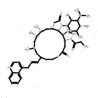 CCC(=O)O[C@@H]1CC(=O)OCCC(/C=C/Cc2ccnc3ccccc23)CN(C)C[C@H](O)[C@H](C)C[C@H](CC=O)[C@H](O[C@@H]2OC(C)[C@@H](O)C(N(C)C)C2O)[C@H]1OC